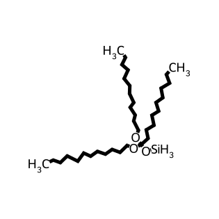 CCCCCCCCCCCCOC(CCCCCCCCCCC)(O[SiH3])OCCCCCCCCCCCC